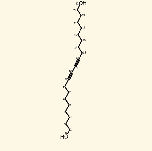 OCCCCCCCCC#CC#CCCCCCCCCO